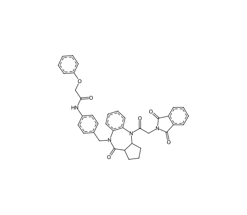 O=C(COc1ccccc1)Nc1ccc(CN2C(=O)C3CCCC3N(C(=O)CN3C(=O)c4ccccc4C3=O)c3ccccc32)cc1